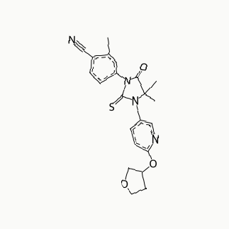 Cc1cc(N2C(=O)C(C)(C)N(c3ccc(OC4CCOC4)nc3)C2=S)ccc1C#N